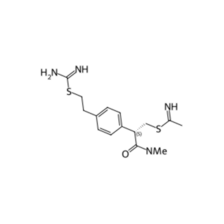 CNC(=O)[C@@H](CSC(C)=N)c1ccc(CCSC(=N)N)cc1